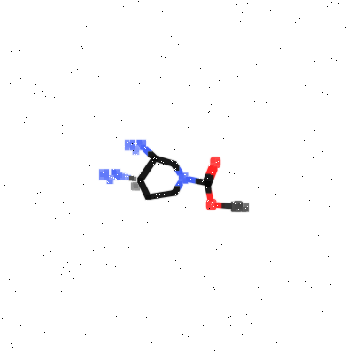 CC(C)(C)OC(=O)N1CC[C@H](N)C(N)C1